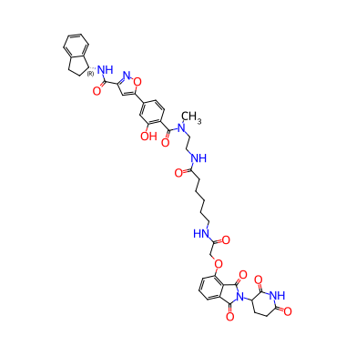 CN(CCNC(=O)CCCCCNC(=O)COc1cccc2c1C(=O)N(C1CCC(=O)NC1=O)C2=O)C(=O)c1ccc(-c2cc(C(=O)N[C@@H]3CCc4ccccc43)no2)cc1O